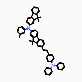 Cc1cccc(N(c2ccc3c(c2)C(C)(C)c2ccccc2-3)c2ccc3c(c2)C(C)(C)c2cc(/C=C/c4ccc(N(c5ccccc5)c5ccccc5)cc4)ccc2-3)c1